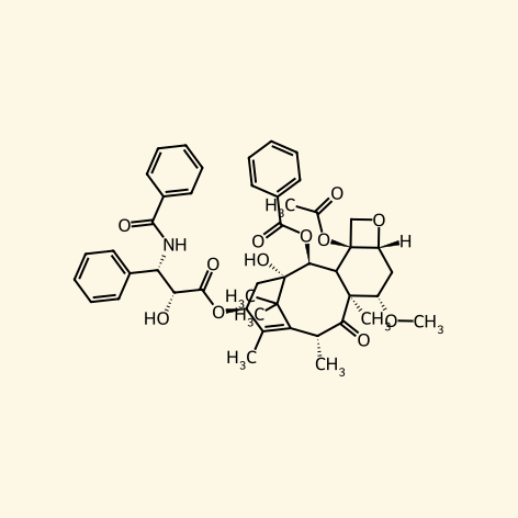 CO[C@H]1C[C@H]2OC[C@@]2(OC(C)=O)C2[C@H](OC(=O)c3ccccc3)[C@]3(O)C[C@H](OC(=O)[C@H](O)[C@@H](NC(=O)c4ccccc4)c4ccccc4)C(C)=C([C@@H](C)C(=O)[C@@]21C)C3(C)C